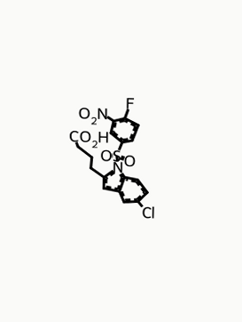 O=C(O)CCCc1cc2cc(Cl)ccc2n1S(=O)(=O)c1ccc(F)c([N+](=O)[O-])c1